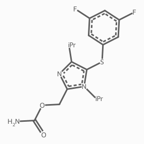 CC(C)c1nc(COC(N)=O)n(C(C)C)c1Sc1cc(F)cc(F)c1